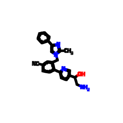 Cc1nc(-c2ccccc2)cn1Cc1cc(C#N)ccc1-c1ccc(C(O)CN)cn1